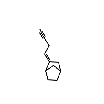 N#CCC=C1CC2CCC1C2